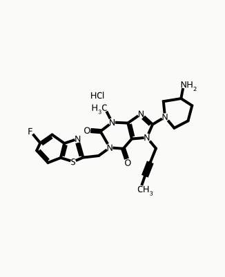 CC#CCn1c(N2CCCC(N)C2)nc2c1c(=O)n(Cc1nc3cc(F)ccc3s1)c(=O)n2C.Cl